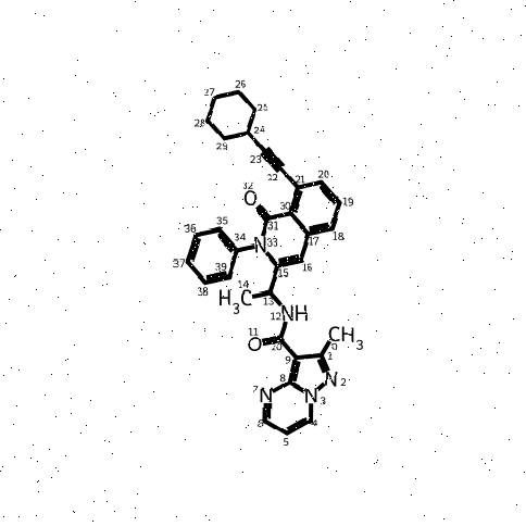 Cc1nn2cccnc2c1C(=O)NC(C)c1cc2cccc(C#CC3CCCCC3)c2c(=O)n1-c1ccccc1